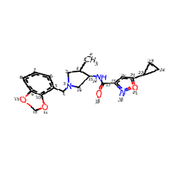 CC1CN(Cc2cccc3c2OCO3)CC1NC(=O)c1cc(C2CC2)on1